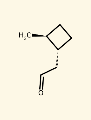 C[C@H]1CC[C@@H]1CC=O